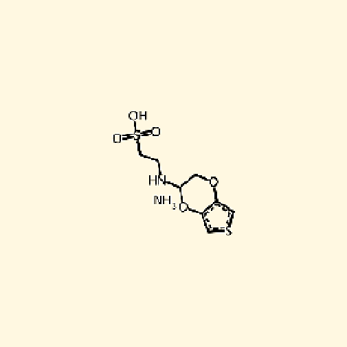 N.O=S(=O)(O)CCNC1COc2cscc2O1